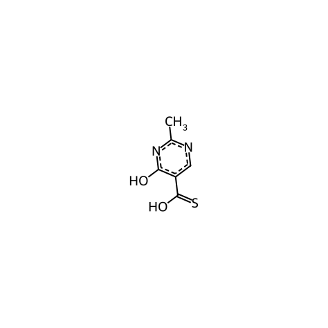 Cc1ncc(C(O)=S)c(O)n1